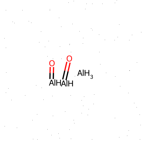 [AlH3].[O]=[AlH].[O]=[AlH]